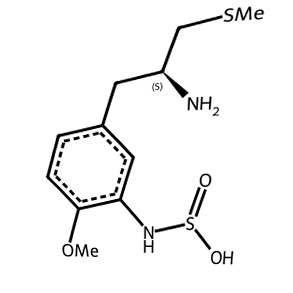 COc1ccc(C[C@H](N)CSC)cc1NS(=O)O